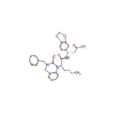 CCCCC(C(=O)N[C@@H](CC(=O)O)c1ccc2c(c1)OCO2)N1C(=O)N(Cc2ccccc2)Cc2ccccc21